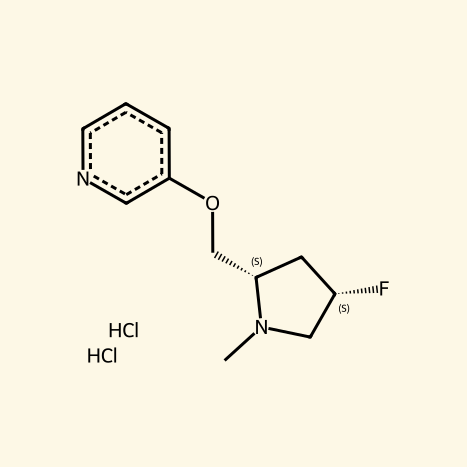 CN1C[C@@H](F)C[C@H]1COc1cccnc1.Cl.Cl